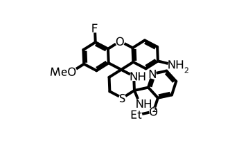 CCOc1cccnc1C1(N)NC2(CCS1)c1cc(N)ccc1Oc1c(F)cc(OC)cc12